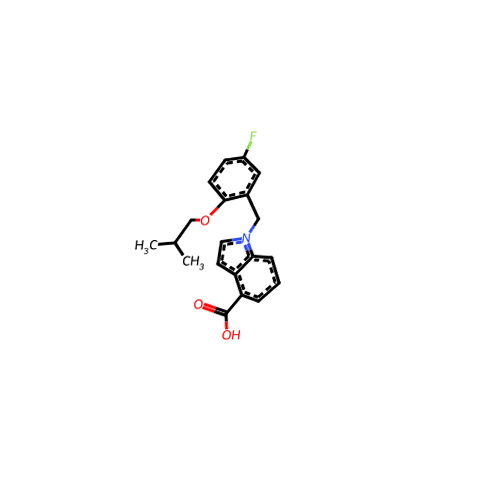 CC(C)COc1ccc(F)cc1Cn1ccc2c(C(=O)O)cccc21